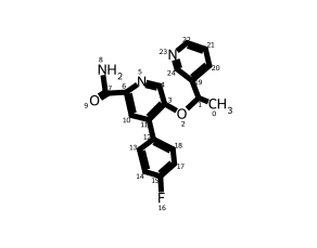 CC(Oc1cnc(C(N)=O)cc1-c1ccc(F)cc1)c1cccnc1